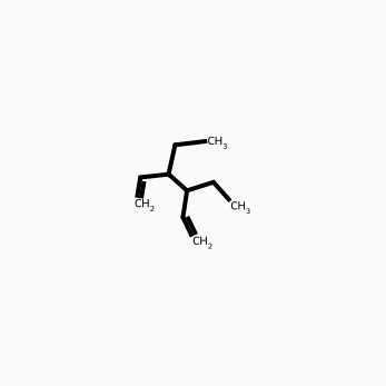 C=C[C](CC)C(C=C)CC